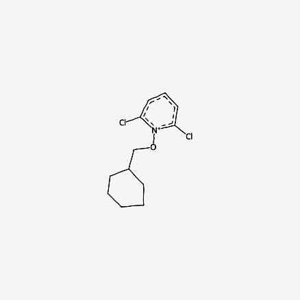 Clc1cccc(Cl)[n+]1OCC1CCCCC1